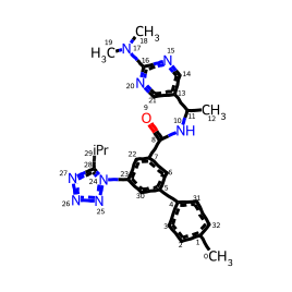 Cc1ccc(-c2cc(C(=O)NC(C)c3cnc(N(C)C)nc3)cc(-n3nnnc3C(C)C)c2)cc1